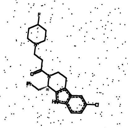 CC(C)C[C@H]1c2[nH]c3ccc(Cl)cc3c2CCN1C(=O)CCN1CCC(F)CC1